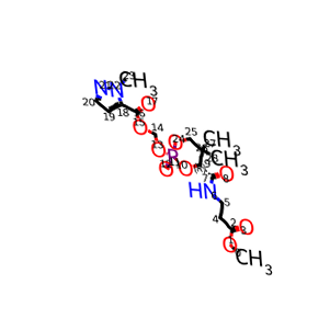 COC(=O)CCNC(=O)[C@@H]1OP(=O)(OCOC(=O)c2ccnn2C)OCC1(C)C